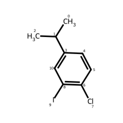 CC(C)c1ccc(Cl)c(I)c1